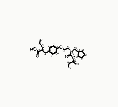 CCOC(Cc1ccc(OCCN(CC2CCCC2)C(=O)OC(C)CC)cc1)C(=O)O